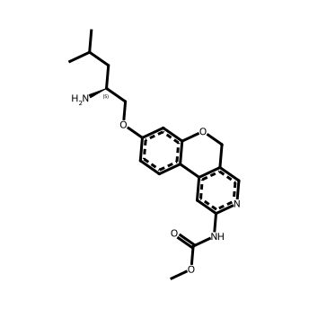 COC(=O)Nc1cc2c(cn1)COc1cc(OC[C@@H](N)CC(C)C)ccc1-2